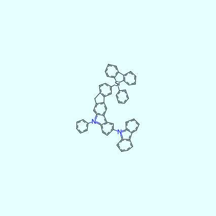 c1ccc(-n2c3ccc(-n4c5ccccc5c5ccccc54)cc3c3cc4c(cc32)Cc2ccc([Si]3(c5ccccc5)c5ccccc5-c5ccccc53)cc2-4)cc1